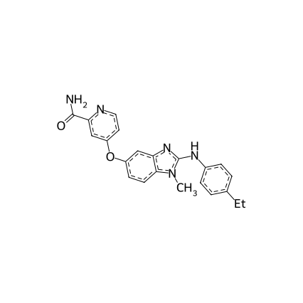 CCc1ccc(Nc2nc3cc(Oc4ccnc(C(N)=O)c4)ccc3n2C)cc1